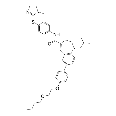 CCCCOCCOc1ccc(-c2ccc3c(c2)C=C(C(=O)Nc2ccc(Sc4nccn4C)cc2)CCN3CC(C)C)cc1